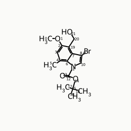 COc1cc(C)c2c(c(Br)cn2C(=O)OC(C)(C)C)c1CO